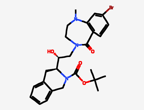 CN1CCN(C[C@@H](O)[C@@H]2Cc3ccccc3CN2C(=O)OC(C)(C)C)C(=O)c2ccc(Br)cc21